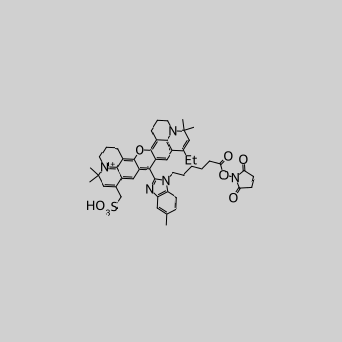 CCC1=CC(C)(C)N2CCCc3c4c(cc1c32)C(c1nc2cc(C)ccc2n1CCCCCC(=O)ON1C(=O)CCC1=O)=c1cc2c3c(c1O4)CCC[N+]=3C(C)(C)C=C2CS(=O)(=O)O